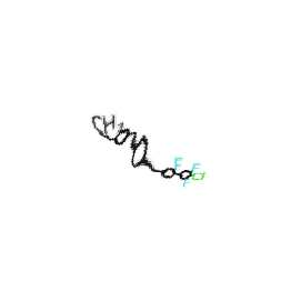 CCCCc1ccc(CCC2CCC(CCc3ccc(-c4cc(F)c(Cl)c(F)c4)c(F)c3)CC2)cc1